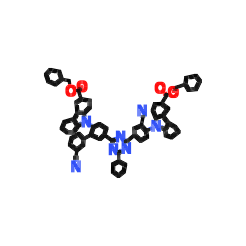 N#Cc1cccc(-c2cc(-c3nc(-c4ccccc4)nc(-c4ccc(-n5c6ccccc6c6cc(C(=O)OCc7ccccc7)ccc65)c(C#N)c4)n3)ccc2-n2c3ccccc3c3cc(C(=O)OCc4ccccc4)ccc32)c1